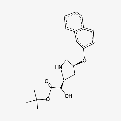 CC(C)(C)OC(=O)C(O)[C@@H]1C[C@H](Oc2ccc3ccccc3c2)CN1